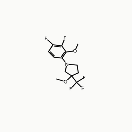 COc1c(N2CCC(OC)(C(F)(F)F)C2)ccc(F)c1F